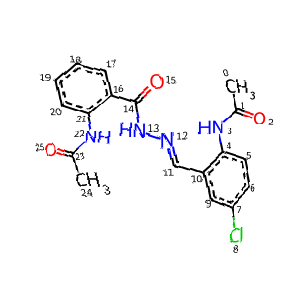 CC(=O)Nc1ccc(Cl)cc1C=NNC(=O)c1ccccc1NC(C)=O